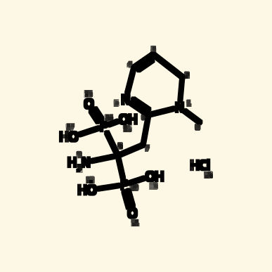 CN1CC=CN=C1CC(N)(P(=O)(O)O)P(=O)(O)O.Cl